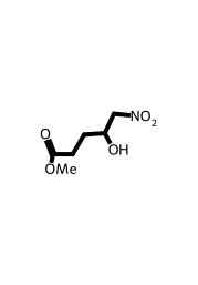 COC(=O)CCC(O)C[N+](=O)[O-]